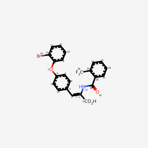 O=C(O)/C(=C/c1ccc(Oc2ccccc2Br)cc1)NC(=O)c1ccccc1C(F)(F)F